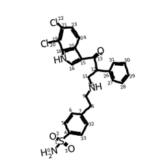 NS(=O)(=O)c1ccc(CCNCC(C(=O)c2c[nH]c3c(Cl)c(Cl)ccc23)c2ccccc2)cc1